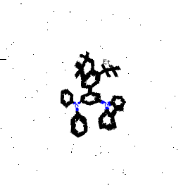 CCC(C)(C)C(C)(C)c1cc(-c2cc(N(c3ccccc3)c3ccccc3)cc(-n3c4ccccc4c4ccccc43)c2)cc2c1CC(C)(C)C2(C)C